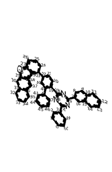 c1ccc(-c2nc(-c3ccc4ccccc4c3)nc(-c3ccc(-c4cccc5oc6cc7ccccc7cc6c45)cc3-c3ccccc3)n2)cc1